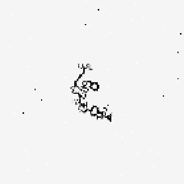 CN(C)C(=O)CCCCC1SCC(C(=O)Nc2nc(-c3ccc(C(=O)NC4CC4)cc3)cs2)N1C(=O)OCc1ccccc1